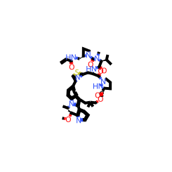 C=CC(=O)NC[C@@H]1CCN1C(=O)N(C)[C@H](C(=O)N[C@H]1Cc2nc(cs2)-c2ccc3c(c2)c(c(-c2cccnc2[C@H](C)OC)n3CC)CC(C)(C)COC[C@@]2(C=O)CCCN(N2)C1=O)C(C)C